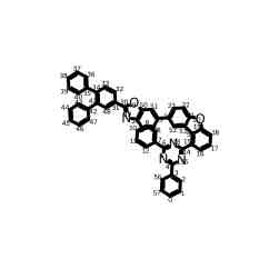 c1ccc(-c2nc(-c3ccccc3)nc(-c3cccc4oc5ccc(-c6ccc7nc(-c8ccc(-c9ccccc9)c(-c9ccccc9)c8)oc7c6)cc5c34)n2)cc1